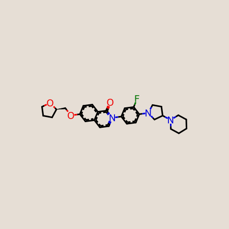 O=c1c2ccc(OC[C@H]3CCCO3)cc2ccn1-c1ccc(N2CCC(N3CCCCC3)C2)c(F)c1